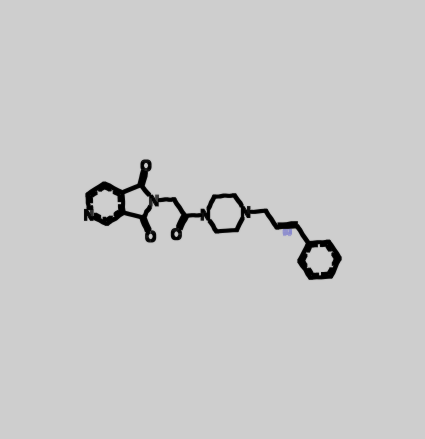 O=C(CN1C(=O)c2ccncc2C1=O)N1CCN(C/C=C/c2ccccc2)CC1